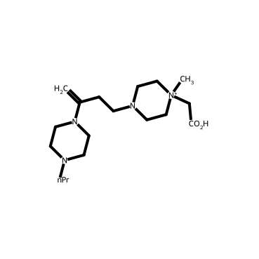 C=C(CCN1CC[N+](C)(CC(=O)O)CC1)N1CCN(CCC)CC1